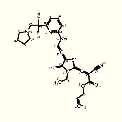 C=CCOC(=O)C(=C=c1sc(=C=CNc2cccc(C(F)(F)CN3CCCC3)n2)c(=O)n1CC)C#N